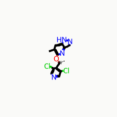 Cc1cc2[nH]ncc2nc1O[C@H](C)c1c(Cl)cncc1Cl